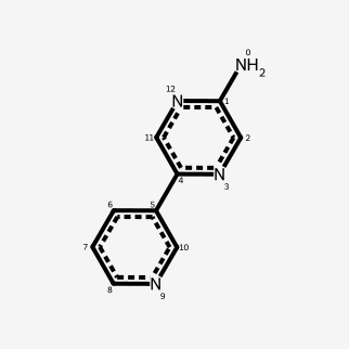 Nc1cnc(-c2cccnc2)cn1